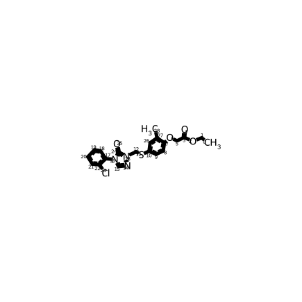 CCOC(=O)COc1ccc(SCn2ncn(-c3ccccc3Cl)c2=O)cc1C